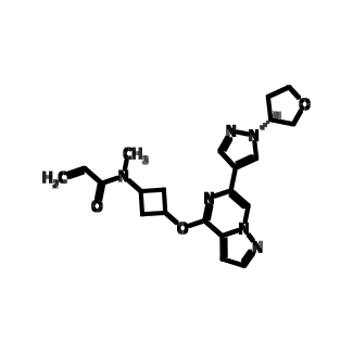 C=CC(=O)N(C)C1CC(Oc2nc(-c3cnn([C@@H]4CCOC4)c3)cn3nccc23)C1